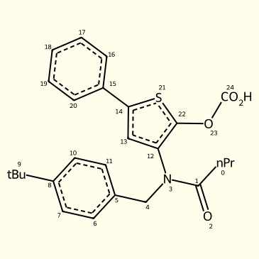 CCCC(=O)N(Cc1ccc(C(C)(C)C)cc1)c1cc(-c2ccccc2)sc1OC(=O)O